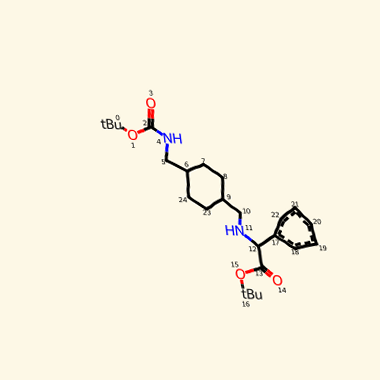 CC(C)(C)OC(=O)NCC1CCC(CNC(C(=O)OC(C)(C)C)c2ccccc2)CC1